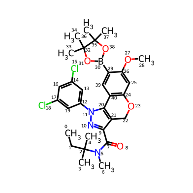 CCC(C)(C)N(C)C(=O)c1nn(-c2cc(Cl)cc(Cl)c2)c2c1COc1cc(OC)c(B3OC(C)(C)C(C)(C)O3)cc1-2